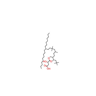 CCCCCCCCCCC(CCCCCCCC)CCC(C)(C)CC(C)CCC(COC(=O)C(O)CC(=O)O)C(C)CC(C)(C)C